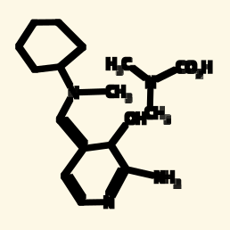 CN(C)C(=O)O.CN(C=C1C=CN=C(N)C1O)C1CCCCC1